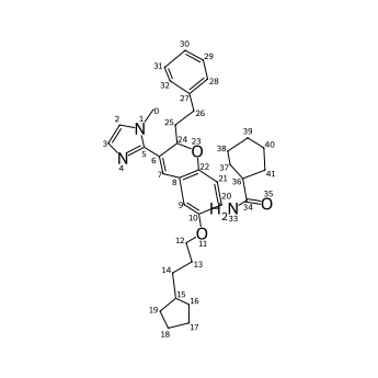 Cn1ccnc1C1=Cc2cc(OCCCC3CCCC3)ccc2OC1CCc1ccccc1.NC(=O)C1CCCCC1